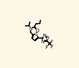 CCCC(=O)N(Cc1ccc(-c2noc(C(F)(F)F)n2)s1)C(C)C